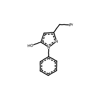 CC(C)Cc1cc(O)n(-c2ccccc2)n1